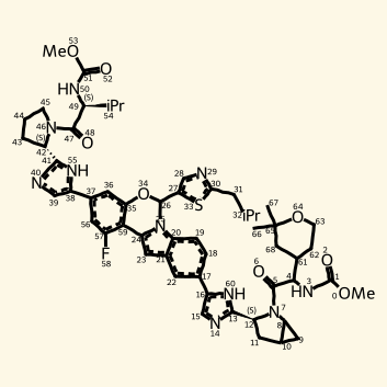 COC(=O)NC(C(=O)N1C2CC2C[C@H]1c1ncc(-c2ccc3c(c2)cc2n3C(c3cnc(CC(C)C)s3)Oc3cc(-c4cnc([C@@H]5CCCN5C(=O)[C@@H](NC(=O)OC)C(C)C)[nH]4)cc(F)c3-2)[nH]1)C1CCOC(C)(C)C1